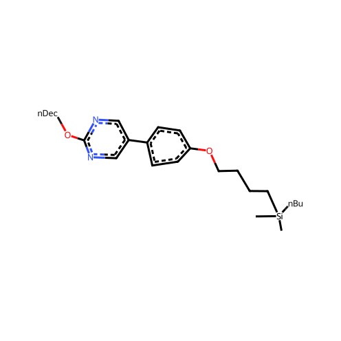 CCCCCCCCCCOc1ncc(-c2ccc(OCCCC[Si](C)(C)CCCC)cc2)cn1